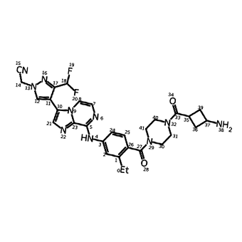 CCc1cc(Nc2nccn3c(-c4cn(CC#N)nc4C(F)F)cnc23)ccc1C(=O)N1CCN(C(=O)C2CC(N)C2)CC1